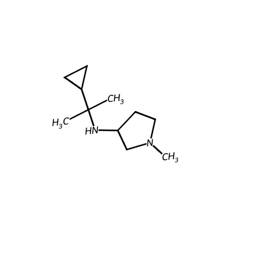 CN1CCC(NC(C)(C)C2CC2)C1